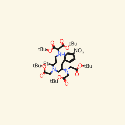 CCC(CCNC(C(=O)OC(C)(C)C)C(=O)OC(C)(C)C)N(CC(=O)OC(C)(C)C)CC(Cc1ccc([N+](=O)[O-])cc1)N(CC(=O)OC(C)(C)C)CC(=O)OC(C)(C)C